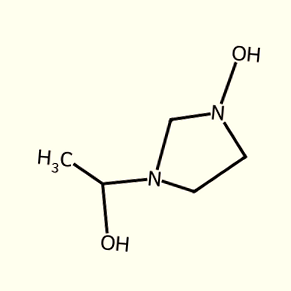 CC(O)N1CCN(O)C1